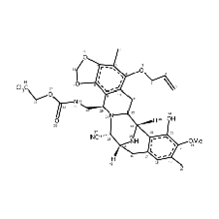 C=CCOc1c(C)c2c(c3c1CC1[C@H]4N[C@H](Cc5cc(C)c(OC)c(O)c54)[C@H](C#N)N1[C@H]3CNC(=O)OCC(Cl)(Cl)Cl)OCO2